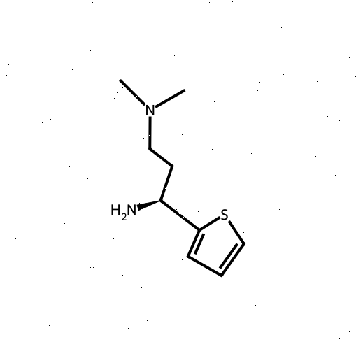 CN(C)CC[C@H](N)c1cccs1